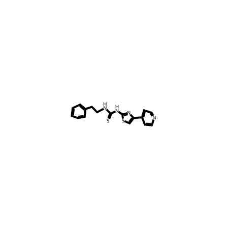 S=C(NCCc1ccccc1)Nc1nc(-c2ccncc2)cs1